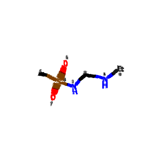 CCNCNS(C)(=O)=O